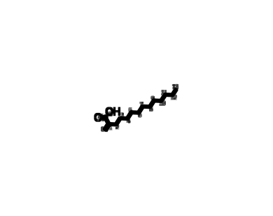 C=C(CCCCCCCCCCCC)C(=O)O